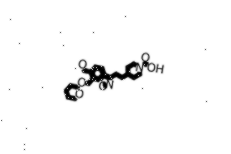 O=Cc1ccc2c(CCC3CCN(C(=O)O)CC3)noc2c1COC1CCCCO1